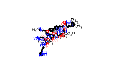 CCc1cc(OCCCCn2cc(C)nn2)ccc1-c1ccc(CC(NC(=O)C(CC(=O)O)NC(=O)C(CO)NC(=O)C(NC(=O)C(C)(Cc2ccccc2F)NC(=O)C(NC(=O)CNC(=O)C(Cc2nn[nH]n2)NC(=O)C(C)(C)C(=O)NCCc2cnc[nH]2)C(C)O)C(C)O)C(=O)NC(CCCc2cc(C)cc(C)c2)C(N)=O)cc1